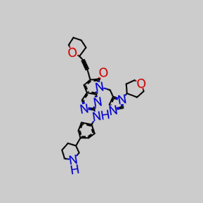 O=c1c(C#CC2CCCCO2)cc2cnc(Nc3ccc(C4CCCNC4)cc3)nc2n1Cc1cncn1C1CCOCC1